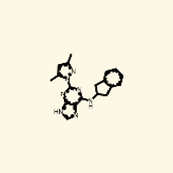 Cc1cc(C)n(-c2nc(NC3Cc4ccccc4C3)c3nc[nH]c3n2)n1